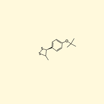 CC1SS[C@H]1c1ccc(OC(C)(C)C)cc1